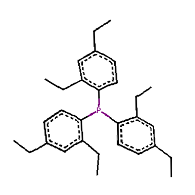 CCc1ccc(P(c2ccc(CC)cc2CC)c2ccc(CC)cc2CC)c(CC)c1